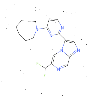 FC(F)c1cn2c(-c3nccc(N4CCCCCC4)n3)cnc2cn1